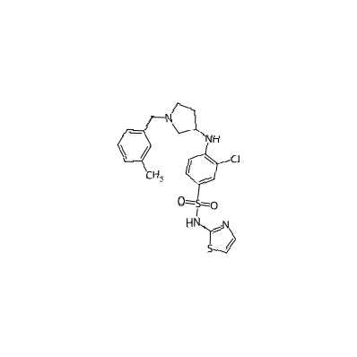 Cc1cccc(CN2CCC(Nc3ccc(S(=O)(=O)Nc4nccs4)cc3Cl)C2)c1